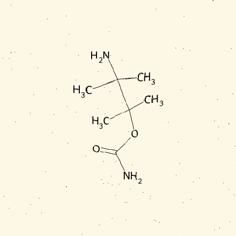 CC(C)(N)C(C)(C)OC(N)=O